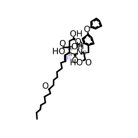 CCCCCCCC(=O)CCCCCC/C=C/[C@H](C(=O)N[C@@H](Cc1ccc(Oc2ccccc2)cc1)C(=O)O)[C@@](O)(CC(=O)O)C(=O)O